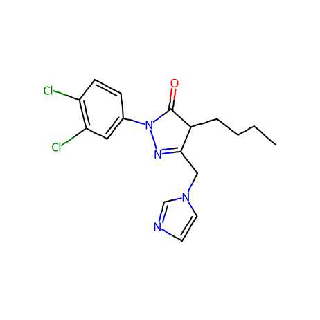 CCCCC1C(=O)N(c2ccc(Cl)c(Cl)c2)N=C1Cn1ccnc1